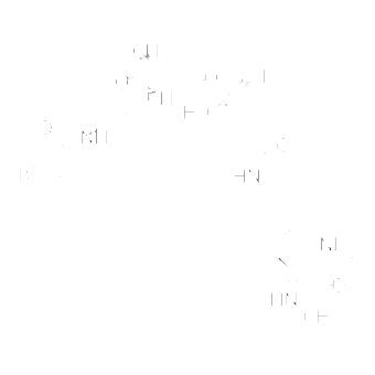 CN[C@@H](CCCCNC(=O)CCC(C)(C)OCCC(C)(C)OCCNC(=O)CBr)C(N)=O